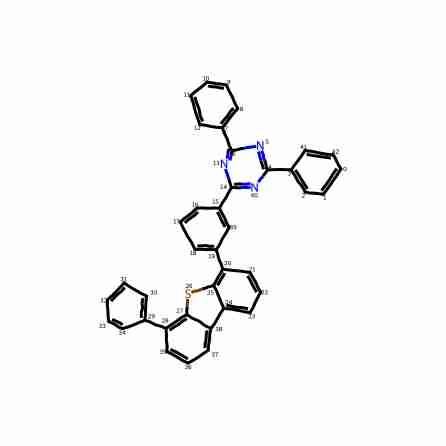 c1ccc(-c2nc(-c3ccccc3)nc(-c3cccc(-c4cccc5c4sc4c(-c6ccccc6)cccc45)c3)n2)cc1